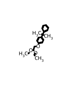 CCOC(COc1ccc(C(C)(C)c2ccccc2)cc1)OCC